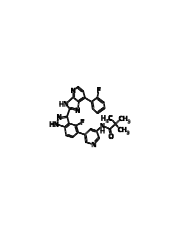 CC(C)(C)C(=O)Nc1cncc(-c2ccc3[nH]nc(-c4nc5c(-c6ccccc6F)ccnc5[nH]4)c3c2F)c1